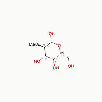 CO[C@H]1[C](O)O[C@H](CO)[C@@H](O)[C@@H]1O